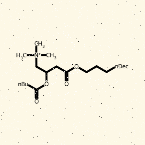 CCCCCCCCCCCCCOC(=O)CC(C[N+](C)(C)C)OC(=O)CCCC